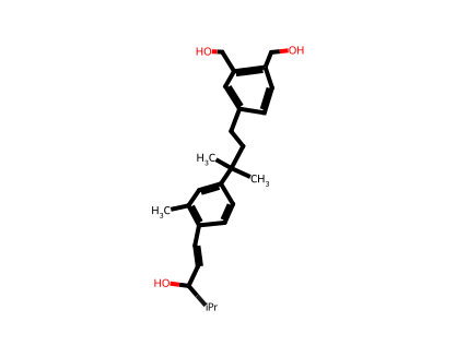 Cc1cc(C(C)(C)CCc2ccc(CO)c(CO)c2)ccc1C=CC(O)C(C)C